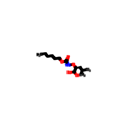 CCCCCCOC(=O)NO[C@@H](CC(C)C)C(O)O